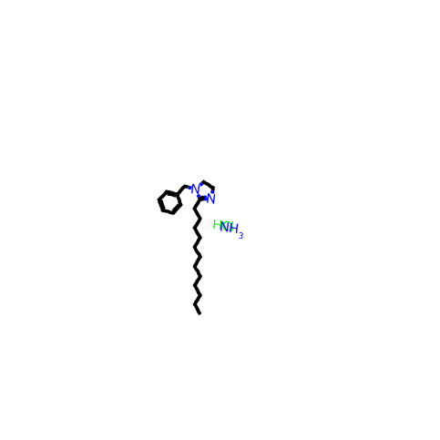 CCCCCCCCCCCCC1=NCCN1Cc1ccccc1.Cl.N